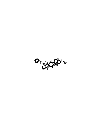 CC1=C2C[C@@H]3[C@@]4(C)CCC(N=[N+]=[N-])C[C@H]4CC[C@@]3(N)[C@@H]2CC[C@@]2(C1)O[C@@H]1C[C@H](C)CN(C(=O)OCc3ccccc3)[C@H]1[C@H]2C